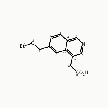 CCOCc1ccc2cncc(CC(=O)O)c2c1